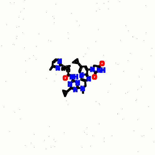 Cc1ccnc([C@H]2C[C@@H]2C(=O)Nc2nc(C3CC3)nc(N(C)Cc3cn4cc(C5CC5)cc(N5CC(=O)NC5=O)c4n3)n2)n1